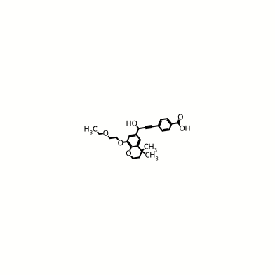 CCOCCOc1cc(C(O)C#Cc2ccc(C(=O)O)cc2)cc2c1OCCC2(C)C